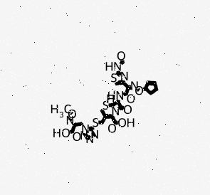 CO/N=C(\Cn1nnnc1SCC1=C(C(=O)O)N2C(=O)C(NC(=O)/C(=N\OC3C=CCC3)c3csc(NC=O)n3)[C@H]2SC1)C(=O)O